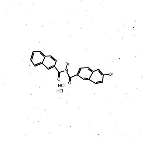 Cl.Cl.O=[C](c1ccc2ccccc2c1)[Al]([Br])[C](=O)c1ccc2cc(Br)ccc2c1